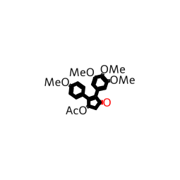 COc1ccc(C2=C(c3cc(OC)c(OC)c(OC)c3)C(=O)CC2OC(C)=O)cc1